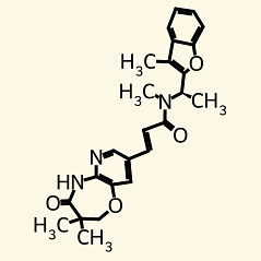 Cc1c([C@@H](C)N(C)C(=O)/C=C/c2cnc3c(c2)OCC(C)(C)C(=O)N3)oc2ccccc12